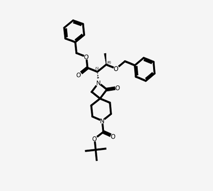 C[C@@H](OCc1ccccc1)[C@@H](C(=O)OCc1ccccc1)N1CC2(CCN(C(=O)OC(C)(C)C)CC2)C1=O